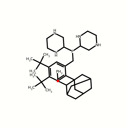 CC(C)(C)c1cc(CP(C2CNCCN2)C2CNCCN2)c(C23CC4CC(CC(C4)C2CP)C3)cc1C(C)(C)C